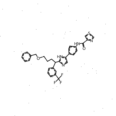 O=C(Nc1ccc(-c2cnc(C(CCCOCc3ccccc3)c3cccc(C(F)(F)F)c3)[nH]2)cc1)c1cscn1